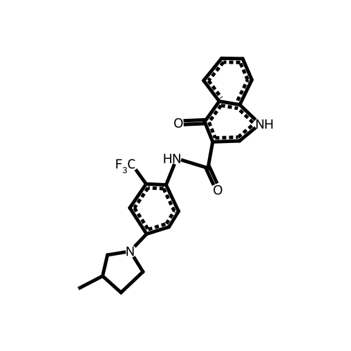 CC1CCN(c2ccc(NC(=O)c3c[nH]c4ccccc4c3=O)c(C(F)(F)F)c2)C1